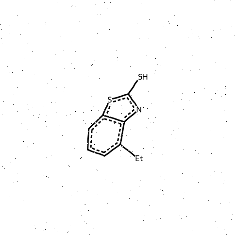 CCc1cccc2sc(S)nc12